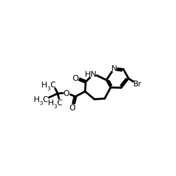 CC(C)(C)OC(=O)C1CCc2cc(Br)cnc2NC1=O